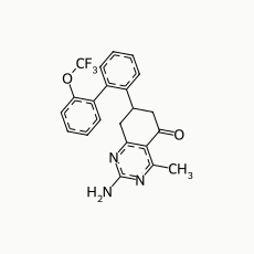 Cc1nc(N)nc2c1C(=O)CC(c1ccccc1-c1ccccc1OC(F)(F)F)C2